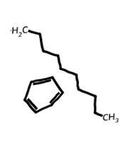 [CH2]CCCCCCCCC.c1ccccc1